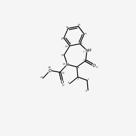 CCC(C)C1C(=O)Nc2ccccc2CN1C(=O)OC